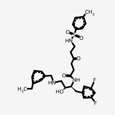 CCc1cccc(CNC[C@H](O)[C@H](Cc2cc(F)cc(F)c2)NC(=O)CCC(=O)CCNS(=O)(=O)c2ccc(C)cc2)c1